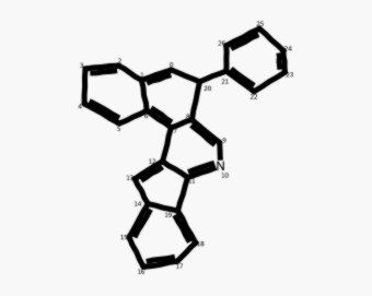 C1=c2ccccc2=c2c(cnc3c2=Cc2ccccc2-3)C1c1ccccc1